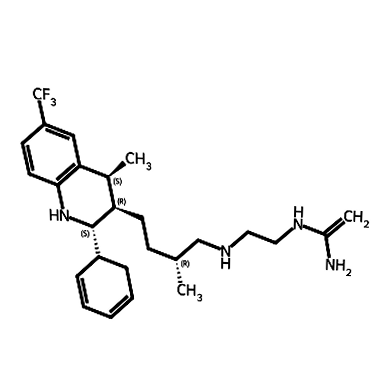 C=C(N)NCCNC[C@H](C)CC[C@@H]1[C@H](C)c2cc(C(F)(F)F)ccc2N[C@H]1C1C=CC=CC1